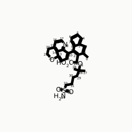 Cc1cc2ccccc2c(-c2ccc3c4c(ccnc24)CCO3)c1C(OC(C)(C)CCCCS(N)(=O)=O)C(=O)O